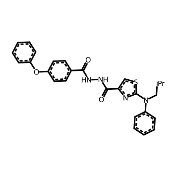 CC(C)CN(c1ccccc1)c1nc(C(=O)NNC(=O)c2ccc(Oc3ccccc3)cc2)cs1